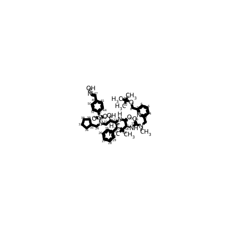 CN(Cc1cccc(COC(C)(C)C)n1)C(=O)N[C@H](C(=O)N[C@@H](Cc1ccccc1)[C@@H](O)CN(CC1CCCC1)S(=O)(=O)c1ccc(C=NO)cc1)C(C)(C)C